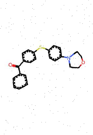 O=C(c1ccccc1)c1ccc(Sc2ccc(N3CCOCC3)cc2)cc1